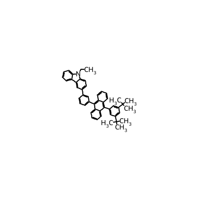 CCn1c2ccccc2c2cc(-c3cccc(-c4c5ccccc5c(-c5cc(C(C)(C)C)cc(C(C)(C)C)c5)c5ccccc45)c3)ccc21